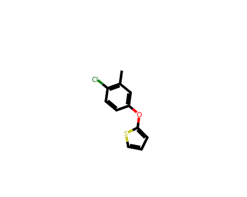 Cc1cc(Oc2cccs2)ccc1Cl